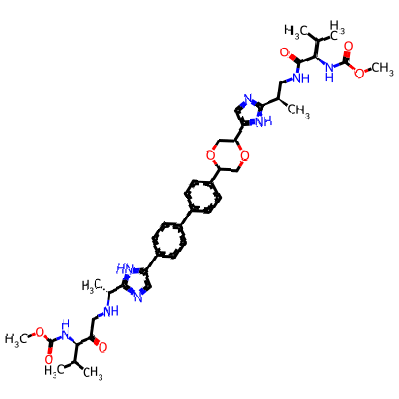 COC(=O)N[C@@H](C(=O)CN[C@H](C)c1ncc(-c2ccc(-c3ccc(C4COC(c5cnc([C@H](C)CNC(=O)[C@H](NC(=O)OC)C(C)C)[nH]5)CO4)cc3)cc2)[nH]1)C(C)C